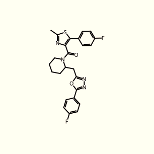 Cc1nc(C(=O)N2CCCCC2Cc2nnc(-c3ccc(F)cc3)o2)c(-c2ccc(F)cc2)s1